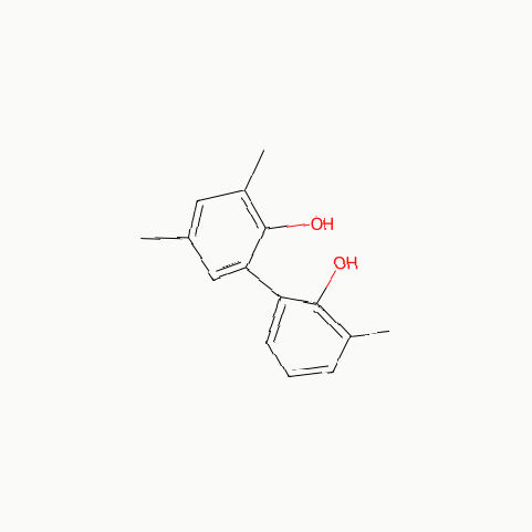 Cc1cc(C)c(O)c(-c2cccc(C)c2O)c1